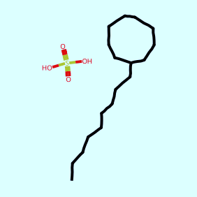 CCCCCCCCCC1CCCCCCCC1.O=S(=O)(O)O